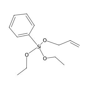 C=CCO[Si](OCC)(OCC)c1ccccc1